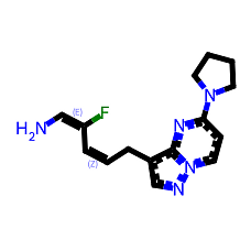 N/C=C(F)\C=C/Cc1cnn2ccc(N3CCCC3)nc12